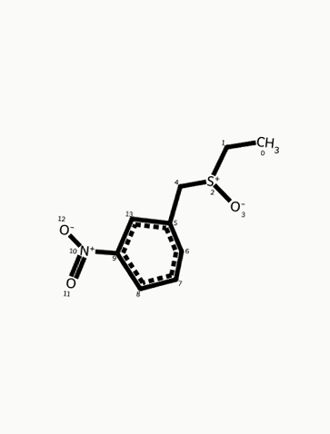 CC[S+]([O-])Cc1cccc([N+](=O)[O-])c1